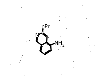 CCCc1cc2c(N)cccc2cn1